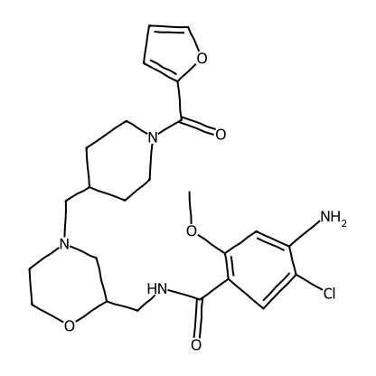 COc1cc(N)c(Cl)cc1C(=O)NCC1CN(CC2CCN(C(=O)c3ccco3)CC2)CCO1